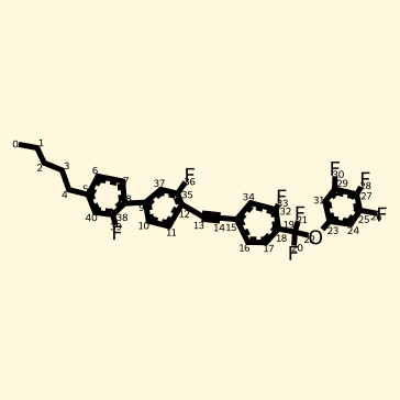 CCCCCc1ccc(-c2ccc(C#Cc3ccc(C(F)(F)Oc4cc(F)c(F)c(F)c4)c(F)c3)c(F)c2)c(F)c1